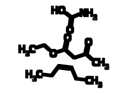 CC/C=C\CC.CCOC(=O)CC(C)=O.NC(=O)O